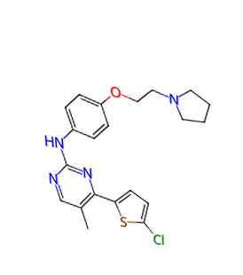 Cc1cnc(Nc2ccc(OCCN3CCCC3)cc2)nc1-c1ccc(Cl)s1